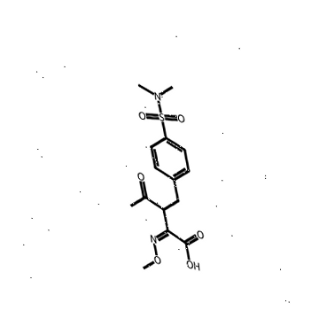 CO/N=C(\C(=O)O)C(Cc1ccc(S(=O)(=O)N(C)C)cc1)C(C)=O